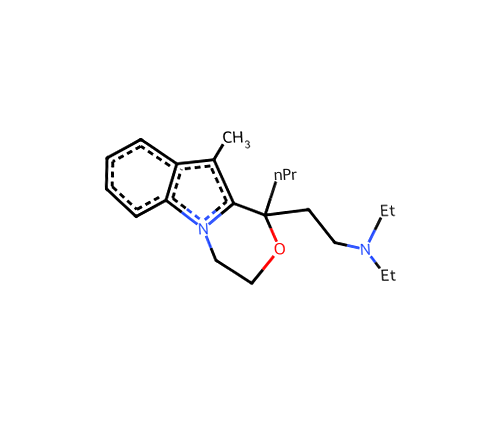 CCCC1(CCN(CC)CC)OCCn2c1c(C)c1ccccc12